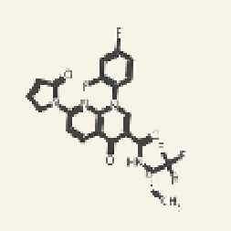 CC[C@H](NC(=O)c1cn(-c2ccc(F)cc2F)c2nc(N3CC=CC3=O)ccc2c1=O)C(F)(F)F